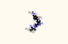 C/C=C\C(C#N)=C(/CC)n1cc(-c2n[nH]c3cnc(-c4c(C)cc(CNC)cc4F)cc23)cn1